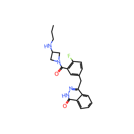 CCCNC1CN(C(=O)c2cc(Cc3n[nH]c(=O)c4ccccc34)ccc2F)C1